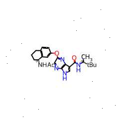 CC(=O)N[C@@H]1CCCc2ccc(Oc3cnc4[nH]cc(C(=O)N[C@@H](C)C(C)(C)C)c4n3)cc21